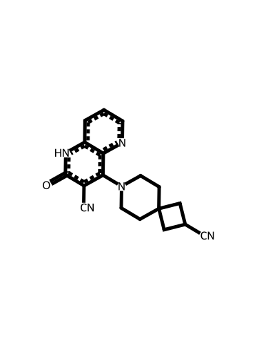 N#Cc1c(N2CCC3(CC2)CC(C#N)C3)c2ncccc2[nH]c1=O